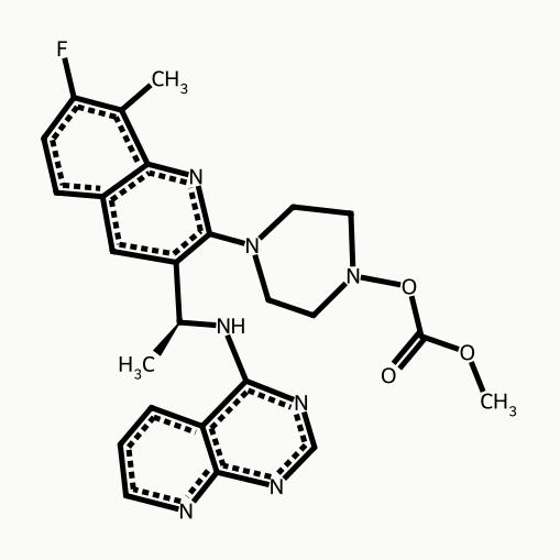 COC(=O)ON1CCN(c2nc3c(C)c(F)ccc3cc2[C@H](C)Nc2ncnc3ncccc23)CC1